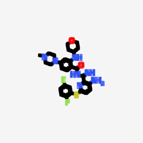 CN1CCN(c2ccc(C(=O)NC(=N)c3nc(Sc4cc(F)ccc4F)ccc3N)c(NC3CCOCC3)c2)CC1